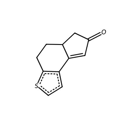 O=C1C=C2c3ccsc3CCC2C1